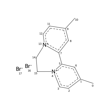 Cc1cc[n+]2c(c1)-c1cc(C)cc[n+]1CC2.[Br-].[Br-]